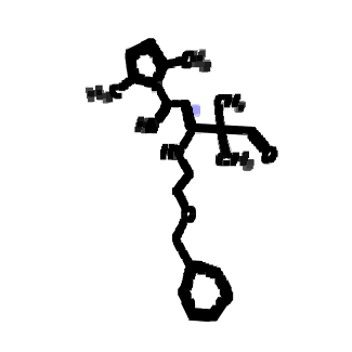 Cc1ccc(C)n1C(=N)/C=C(\NCCOCc1ccccc1)C(C)(C)C=O